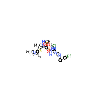 C[C@H](CCSc1ccc(N(C)C)cc1)Nc1ccc(S(=O)(=O)Nc2nc(Cl)nc3c2CCN(C2CCN(Cc4ccccc4-c4ccc(Cl)cc4)CC2)C3)cc1S(=O)(=O)C(F)(F)F